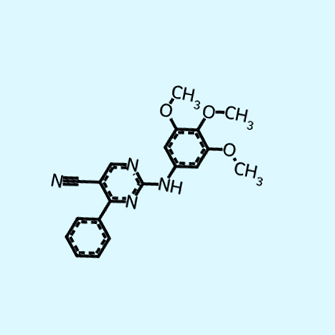 COc1cc(Nc2ncc(C#N)c(-c3ccccc3)n2)cc(OC)c1OC